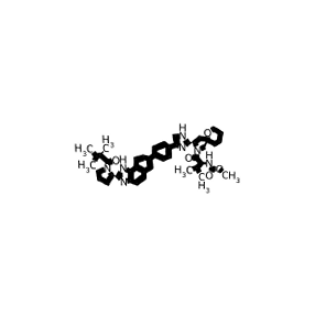 COC(=O)N[C@H](C(=O)N1C[C@@]2(CCCCO2)C[C@H]1c1nc(-c2ccc(-c3ccc4c(ccc5nc([C@@H]6CCCN6C(=O)[C@@H](C)C(C)C)[nH]c54)c3)cc2)c[nH]1)C(C)C